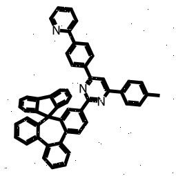 Cc1ccc(-c2cc(-c3ccc(-c4ccccn4)cc3)nc(-c3ccc4c(c3)C3(c5ccccc5-c5ccccc5-4)c4ccccc4-c4ccccc43)n2)cc1